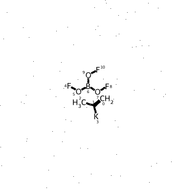 C=[C](C)[K].FOB(OF)OF